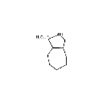 C[C@@H]1NCC2CCCCCC21